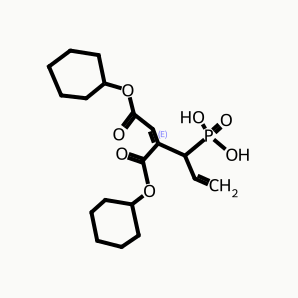 C=CC(/C(=C/C(=O)OC1CCCCC1)C(=O)OC1CCCCC1)P(=O)(O)O